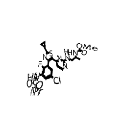 CCCS(=O)(=O)Nc1cc(Cl)cc(-c2nc(C3CC3)sc2-c2ccnc(NCC(C)NC(=O)OC)n2)c1F